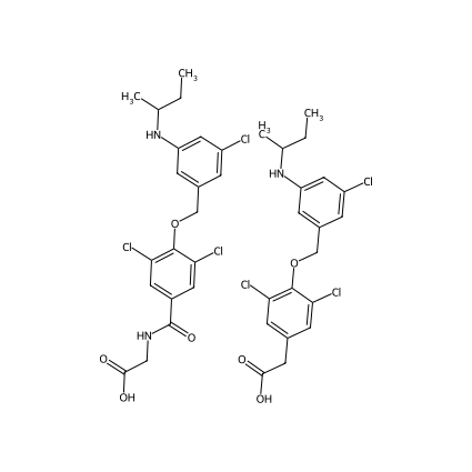 CCC(C)Nc1cc(Cl)cc(COc2c(Cl)cc(C(=O)NCC(=O)O)cc2Cl)c1.CCC(C)Nc1cc(Cl)cc(COc2c(Cl)cc(CC(=O)O)cc2Cl)c1